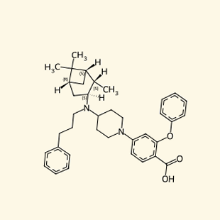 C[C@@H]1[C@@H](N(CCCc2ccccc2)C2CCN(c3ccc(C(=O)O)c(Oc4ccccc4)c3)CC2)C[C@H]2C[C@@H]1C2(C)C